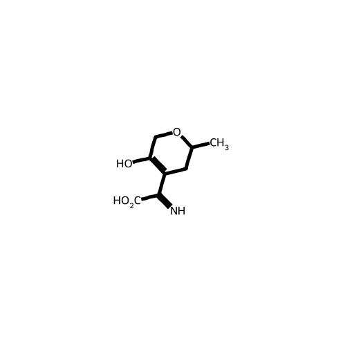 CC1CC(C(=N)C(=O)O)=C(O)CO1